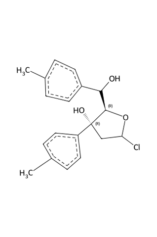 Cc1ccc(C(O)[C@H]2OC(Cl)C[C@@]2(O)c2ccc(C)cc2)cc1